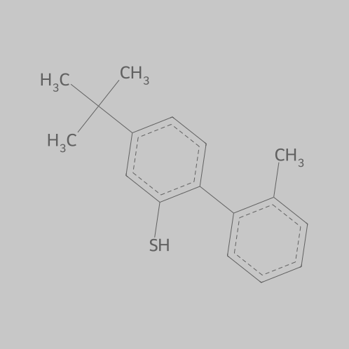 Cc1ccccc1-c1ccc(C(C)(C)C)cc1S